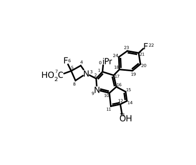 CC(C)c1c(N2CC(F)(C(=O)O)C2)nc2cc(O)ccc2c1-c1ccc(F)cc1